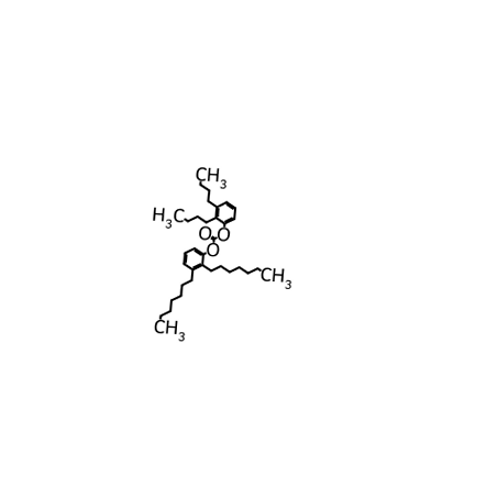 CCCCCCCc1cccc(OC(=O)Oc2cccc(CCCC)c2CCCC)c1CCCCCCC